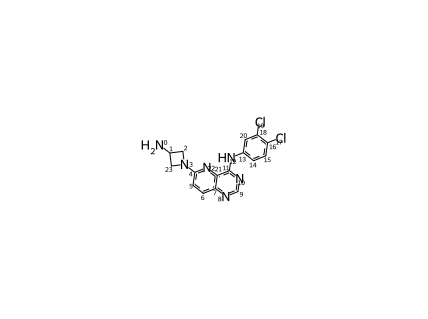 NC1CN(c2ccc3ncnc(Nc4ccc(Cl)c(Cl)c4)c3n2)C1